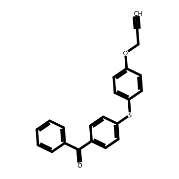 C#CCOc1ccc(Sc2ccc(C(=O)c3ccccc3)cc2)cc1